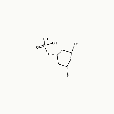 CC[C@@H]1C[C@H](C)C[C@H](OP(=O)(O)O)C1